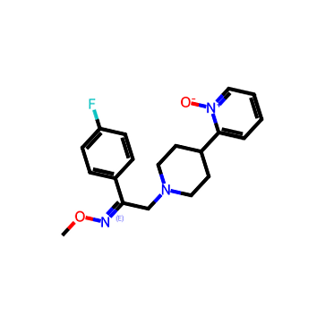 CO/N=C(/CN1CCC(c2cccc[n+]2[O-])CC1)c1ccc(F)cc1